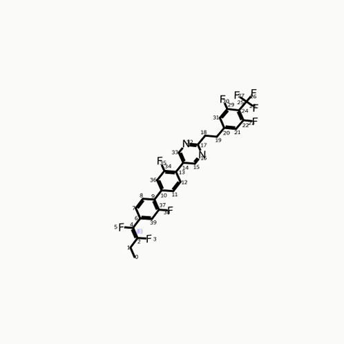 CC/C(F)=C(\F)c1ccc(-c2ccc(-c3cnc(CCc4cc(F)c(C(F)(F)F)c(F)c4)nc3)c(F)c2)c(F)c1